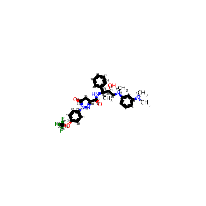 CN(C)c1cccc(N(C)C[C@@H](O)[C@@](C)(NC(=O)C2=NN(c3ccc(OC(F)(F)F)cc3)C(=O)C2)c2ccccc2)c1